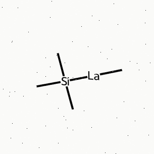 [CH3][La][Si](C)(C)C